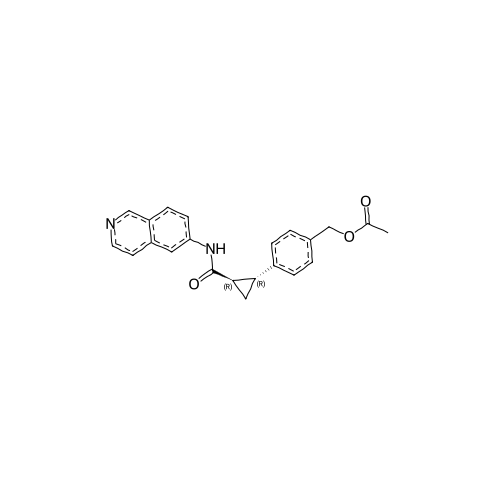 CC(=O)OCc1ccc([C@@H]2C[C@H]2C(=O)Nc2ccc3cnccc3c2)cc1